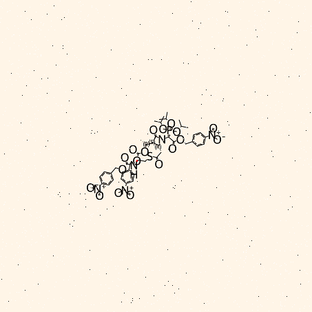 CC(C)OP(OC(C)C)(OC(C)C)=C(C(=O)OCc1ccc([N+](=O)[O-])cc1)N1C(=O)[C@H]([C@@H](C)OC(=O)OCc2ccc([N+](=O)[O-])cc2)[C@H]1CC(=O)SCCNC(=O)OCc1ccc([N+](=O)[O-])cc1